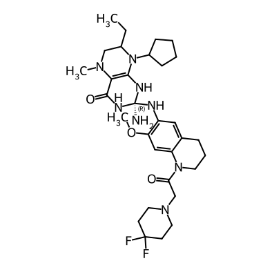 CCC1CN(C)C2=C(N[C@@](N)(Nc3cc4c(cc3OC)N(C(=O)CN3CCC(F)(F)CC3)CCC4)NC2=O)N1C1CCCC1